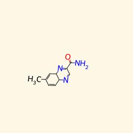 CC1=CC2N=C(C(N)=O)C=NC2C=C1